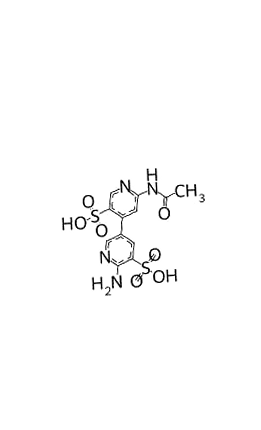 CC(=O)Nc1cc(-c2cnc(N)c(S(=O)(=O)O)c2)c(S(=O)(=O)O)cn1